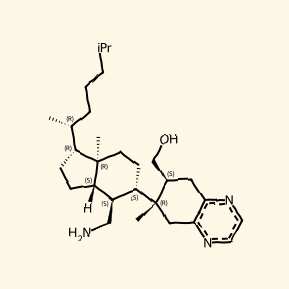 CC(C)CCC[C@@H](C)[C@H]1CC[C@H]2[C@H](CN)[C@@H]([C@@]3(C)Cc4nccnc4C[C@@H]3CO)CC[C@]12C